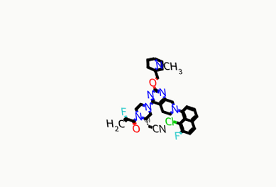 C=C(F)C(=O)N1CCN(c2nc(OCC34CCC(CC3)N4C)nc3c2CCN(c2cccc4ccc(F)c(Cl)c24)C3)C[C@@H]1CC#N